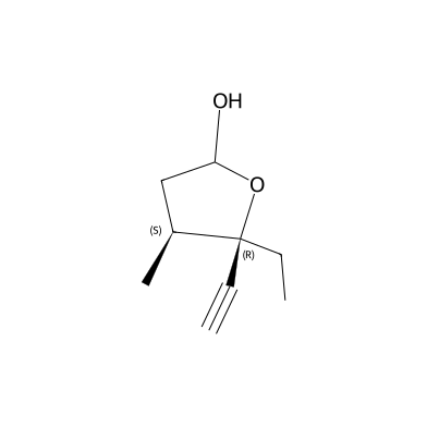 C#C[C@]1(CC)OC(O)C[C@@H]1C